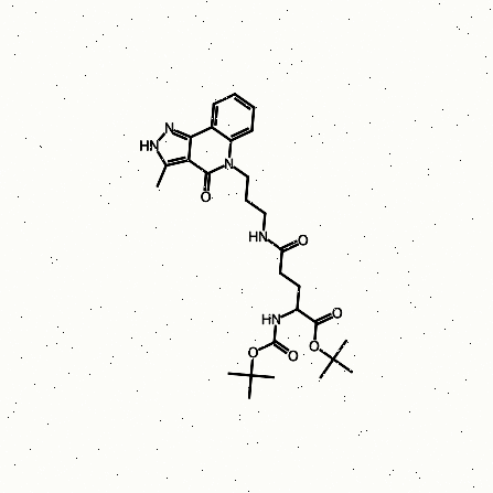 Cc1[nH]nc2c1c(=O)n(CCCNC(=O)CCC(NC(=O)OC(C)(C)C)C(=O)OC(C)(C)C)c1ccccc21